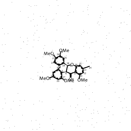 COc1cc(C)c([C@@H]2C(=O)c3c(OC)cc(C)cc3O[C@@H]2c2ccc(OC)c(OC)c2)c(OC)c1